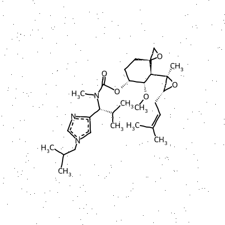 CO[C@@H]1[C@H](OC(=O)N(C)[C@@H](c2cn(CC(C)C)cn2)C(C)C)CC[C@]2(CO2)[C@H]1[C@@]1(C)O[C@@H]1CC=C(C)C